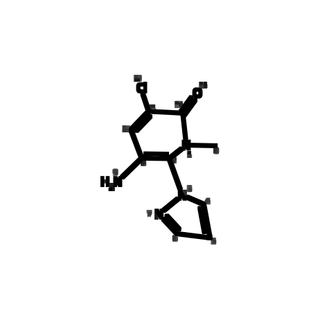 Cn1c(-n2cccn2)c(N)cc(Cl)c1=O